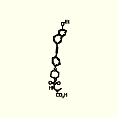 CCOc1ccc2cc(C#Cc3ccc(N4CCN(S(=O)(=O)N[C@H](C)C(=O)O)CC4)cc3)ccc2c1